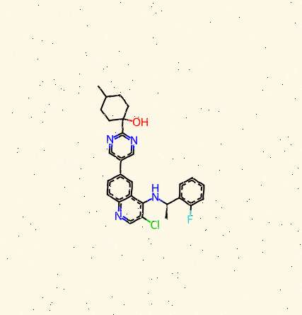 CC1CCC(O)(c2ncc(-c3ccc4ncc(Cl)c(N[C@H](C)c5ccccc5F)c4c3)cn2)CC1